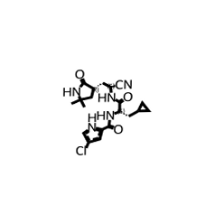 CC1(C)C[C@@H](C[C@@H](C#N)NC(=O)[C@H](CC2CC2)NC(=O)c2cc(Cl)c[nH]2)C(=O)N1